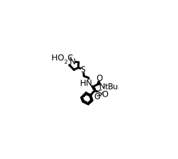 CC(C)(C)N1C(=O)C(NCCSC2CCN(C(=O)O)C2)=C(c2ccccc2)S1(=O)=O